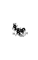 Cc1cc2c(c(-c3cc(F)c4c(c3C)CCCO4)c1[C@H](OC(C)(C)C)C(=O)O)CCN2C(=O)c1ccc(C(F)(F)F)cc1F